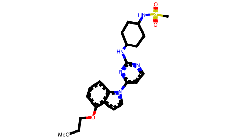 COCCOc1cccc2c1ccn2-c1ccnc(NC2CCC(NS(C)(=O)=O)CC2)n1